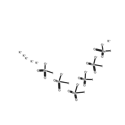 [K+].[K+].[K+].[K+].[K+].[K+].[O]=[Re](=[O])([O-])[I].[O]=[Re](=[O])([O-])[I].[O]=[Re](=[O])([O-])[I].[O]=[Re](=[O])([O-])[I].[O]=[Re](=[O])([O-])[I].[O]=[Re](=[O])([O-])[I]